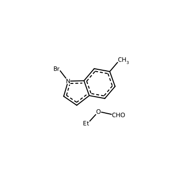 CCOC=O.Cc1ccc2ccn(Br)c2c1